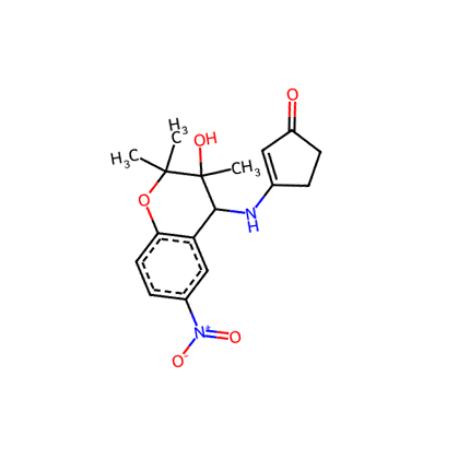 CC1(C)Oc2ccc([N+](=O)[O-])cc2C(NC2=CC(=O)CC2)C1(C)O